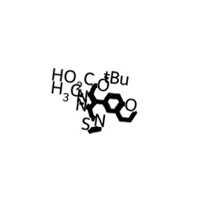 Cn1nc(-c2nccs2)c(-c2ccc3c(c2)CCCO3)c1C(OC(C)(C)C)C(=O)O